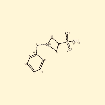 NS(=O)(=O)C1CN(Cc2ccccc2)C1